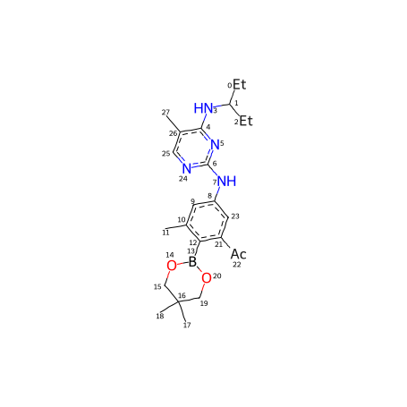 CCC(CC)Nc1nc(Nc2cc(C)c(B3OCC(C)(C)CO3)c(C(C)=O)c2)ncc1C